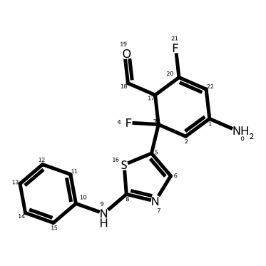 NC1=CC(F)(c2cnc(Nc3ccccc3)s2)C(C=O)C(F)=C1